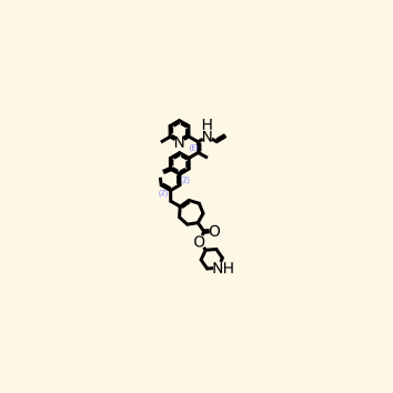 C=CN/C(=C(\C)c1ccc(=C)/c(=C\C(=C/C)CC2=CCCC(C(=O)OC3CCNCC3)CC2)c1)c1cccc(C)n1